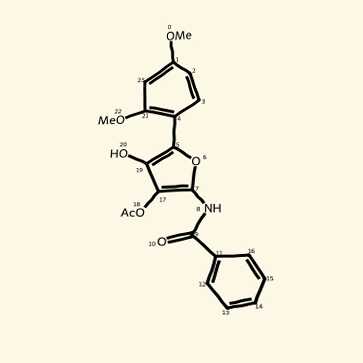 COc1ccc(-c2oc(NC(=O)c3ccccc3)c(OC(C)=O)c2O)c(OC)c1